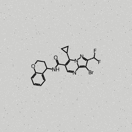 O=C(NC1CCOc2ccccc21)c1cnc2c(Br)c(C(F)F)nn2c1C1CC1